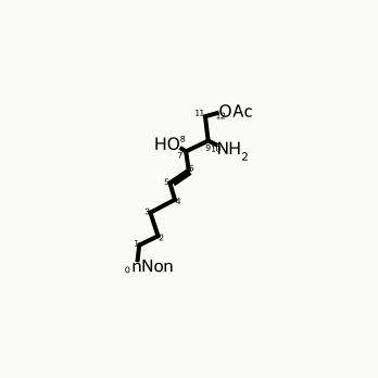 CCCCCCCCCCCCCC=CC(O)C(N)COC(C)=O